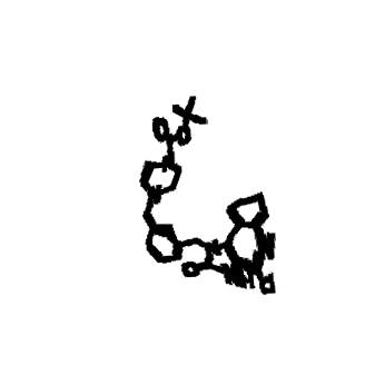 CC(C)(C)OC(=O)N1CCN(Cc2cccc(Cn3c(=O)[nH]c4c(Cl)nc5ccccc5c43)c2)CC1